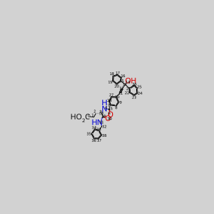 O=C(O)CC[C@H](NC(=O)c1ccc(C#CC(O)(c2ccccc2)c2ccccc2)cc1)C(=O)NCc1ccccc1